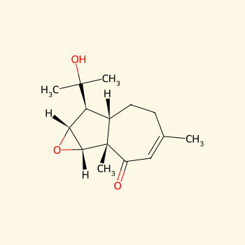 CC1=CC(=O)[C@]2(C)[C@@H]3O[C@@H]3[C@@H](C(C)(C)O)[C@@H]2CC1